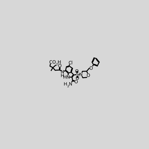 CC(C)(CC(=O)O)CC(=O)Nc1cc(Cl)cc2c(S(=O)(=O)N3CCOC(COc4ccccc4)C3)c(C(N)=O)[nH]c12